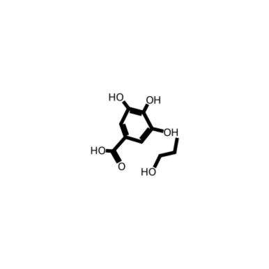 CCCO.O=C(O)c1cc(O)c(O)c(O)c1